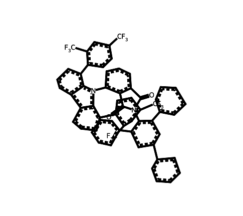 O=C1c2cccc(-n3c4c(-c5ccc(C(F)(F)F)cc5C(F)(F)F)cccc4c4cccc(-c5ccc(C(F)(F)F)cc5C(F)(F)F)c43)c2C(=O)N1c1c(-c2ccccc2)cc(-c2ccccc2)cc1-c1ccccc1